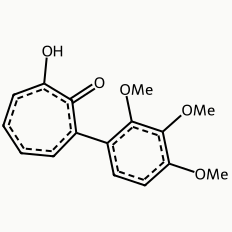 COc1ccc(-c2ccccc(O)c2=O)c(OC)c1OC